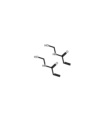 C=CC(=O)NCO.C=CC(=O)NCO